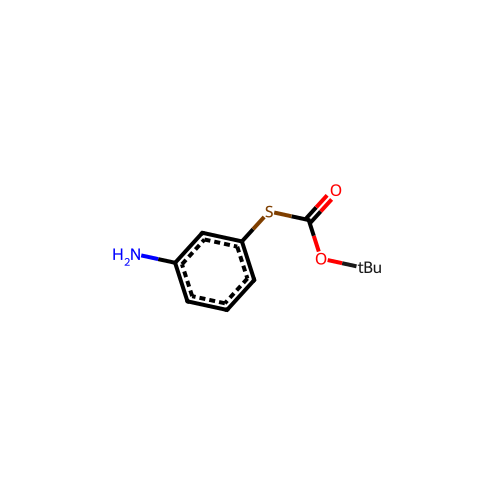 CC(C)(C)OC(=O)Sc1cccc(N)c1